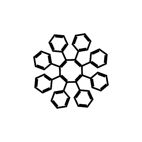 c1ccc(C2=C(c3ccccc3)/C(c3ccccc3)=C(c3ccccc3)\C(c3ccccc3)=C(c3ccccc3)/C(c3ccccc3)=C\2c2ccccc2)cc1